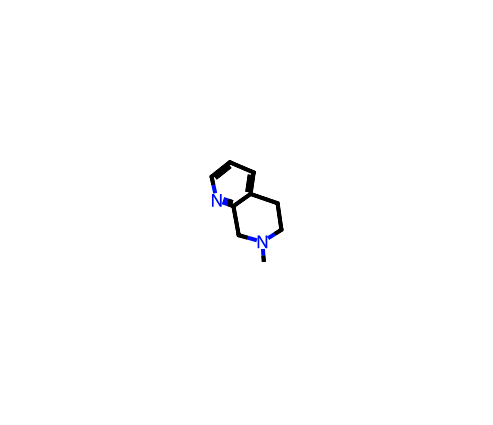 CN1CCc2cccnc2C1